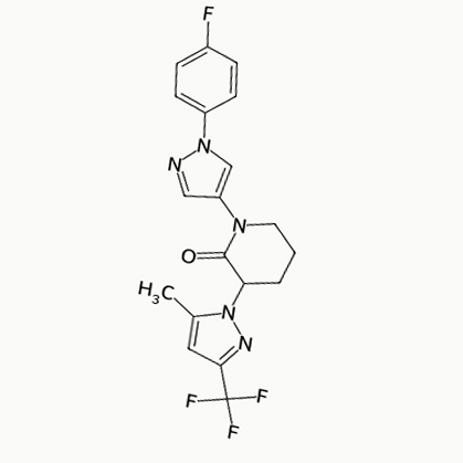 Cc1cc(C(F)(F)F)nn1C1CCCN(c2cnn(-c3ccc(F)cc3)c2)C1=O